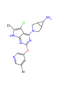 CCc1[nH]c2nc(Oc3cncc(C(C)=O)c3)nc(N3CC4C(N)C4C3)c2c1Cl